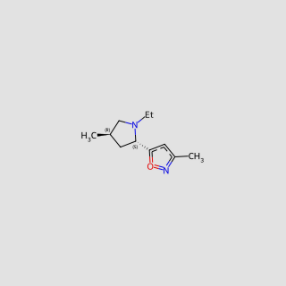 CCN1C[C@H](C)C[C@H]1c1cc(C)no1